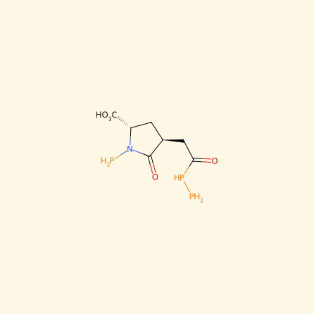 O=C(C[C@@H]1C[C@@H](C(=O)O)N(P)C1=O)PP